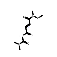 CON(C)C(=O)/C=C/C(=O)NC(=O)N(C)C